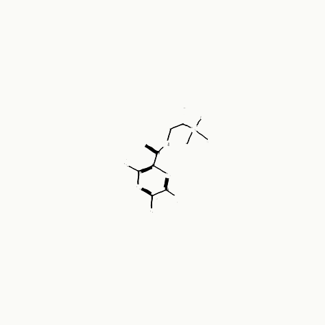 C[C@@H](CNC(=O)c1nc(Cl)c(N)nc1N)[N+](C)(C)C